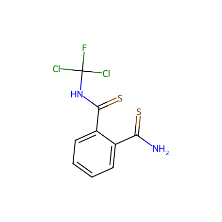 NC(=S)c1ccccc1C(=S)NC(F)(Cl)Cl